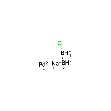 [BH4-].[BH4-].[Cl-].[Na+].[Pd+2]